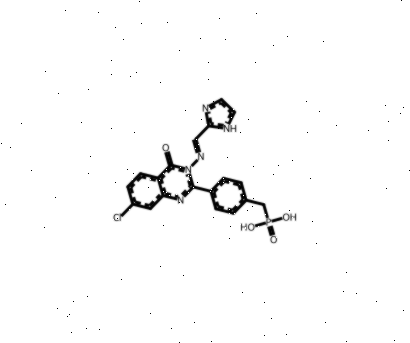 O=c1c2ccc(Cl)cc2nc(-c2ccc(CP(=O)(O)O)cc2)n1/N=C/c1ncc[nH]1